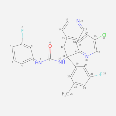 O=C(Nc1cccc(F)c1)NC(Cc1ccncc1)(c1cc(F)cc(C(F)(F)F)c1)c1ccc(Cl)cn1